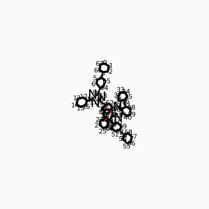 c1ccc(-c2ccc(-c3nc(-c4ccccc4)nc(-c4cc(-c5ccccc5)cc(-n5c6ccccc6c6cccc(-n7c8ccccc8c8ccc(-c9ccccc9)cc87)c65)c4)n3)cc2)cc1